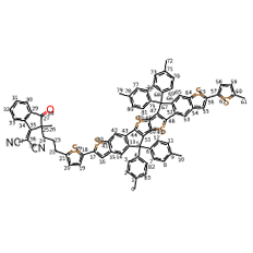 Cc1ccc(C2(c3ccc(C)cc3)c3cc4cc(-c5ccc(CCCC6(C)C(=O)c7ccccc7C6=C(C#N)C#N)s5)sc4cc3-c3sc4c5c(sc4c32)-c2cc3cc(-c4ccc(C)s4)sc3cc2C5(c2ccc(C)cc2)c2ccc(C)cc2)cc1